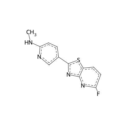 CNc1ccc(-c2nc3nc(F)ccc3s2)cn1